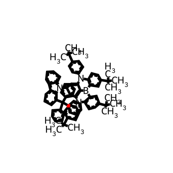 CC(C)(C)c1ccc(N2C3=CC(n4c5ccccc5c5cccc(C(c6ccccc6)(c6ccccc6)c6ccccc6)c54)CC4=C3B(c3cc(C(C)(C)C)ccc32)c2cc(C(C)(C)C)ccc2N4c2ccc(C(C)(C)C)cc2)cc1